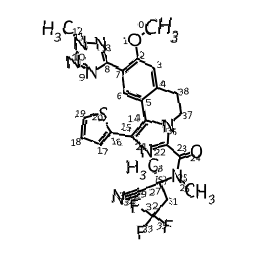 COc1cc2c(cc1-c1nnn(C)n1)-c1c(-c3cccs3)nc(C(=O)N(C)[C@](C)(C#N)CC(F)(F)F)n1CC2